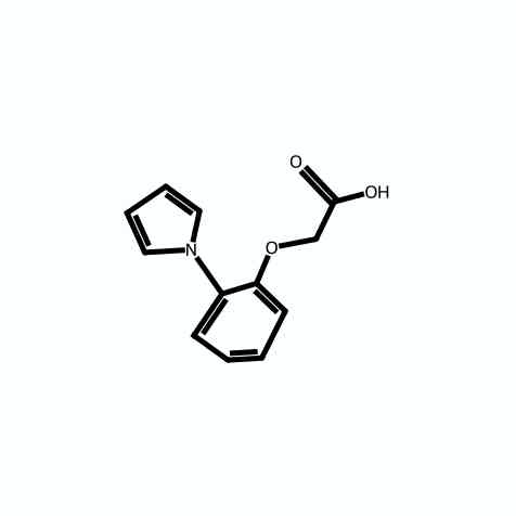 O=C(O)COc1ccccc1-n1cccc1